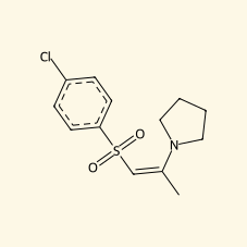 CC(=CS(=O)(=O)c1ccc(Cl)cc1)N1CCCC1